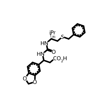 CC(C)[C@H](CSCc1ccccc1)NC(=O)NC(CC(=O)O)c1ccc2c(c1)OCO2